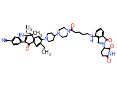 CCc1cc2c(cc1N1CCC(N3CCN(C(=O)CCCCNc4cccc5c4CN(C4CCC(=O)NC4=O)C5=O)CC3)CC1)C(C)(C)c1[nH]c3cc(C#N)ccc3c1C2=O